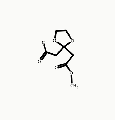 COC(=O)CC1(CC(=O)Cl)OCCO1